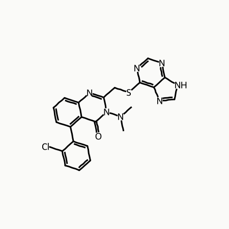 CN(C)n1c(CSc2ncnc3[nH]cnc23)nc2cccc(-c3ccccc3Cl)c2c1=O